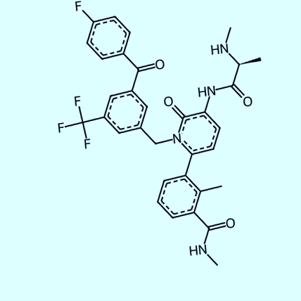 CNC(=O)c1cccc(-c2ccc(NC(=O)[C@H](C)NC)c(=O)n2Cc2cc(C(=O)c3ccc(F)cc3)cc(C(F)(F)F)c2)c1C